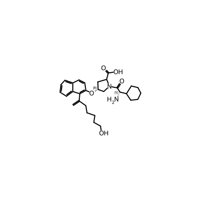 C=C(CCCCCO)c1c(O[C@@H]2CC(C(=O)O)N(C(=O)[C@@H](N)C3CCCCC3)C2)ccc2ccccc12